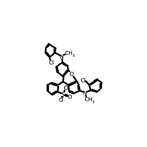 CN(c1ccc2c(c1)Oc1cc(N(C)c3ccccc3Cl)ccc1C2c1ccccc1S(=O)(=O)Cl)c1ccccc1Cl